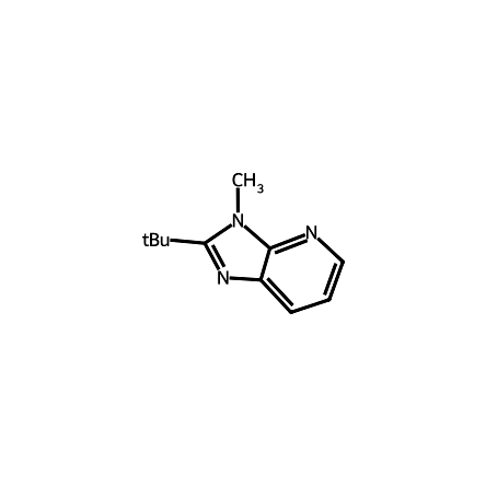 Cn1c(C(C)(C)C)nc2cccnc21